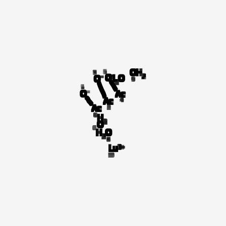 CC(=O)[O-].CC(=O)[O-].CC(=O)[O-].O.O.O.O.[Lu+3]